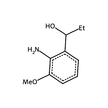 CCC(O)c1cccc(OC)c1N